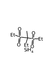 CCC(C)(S(=O)(=O)CC)S(=O)(=O)CC.[SiH4]